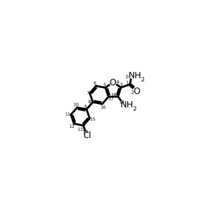 NC(=O)c1oc2ccc(-c3cccc(Cl)c3)cc2c1N